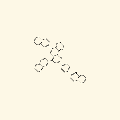 c1ccc2cc(-c3cc4c(-c5ccc6ccccc6c5)cc(-c5ccc(-c6ccc7ccccc7n6)cc5)nc4c4ccccc34)ccc2c1